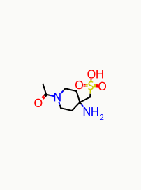 CC(=O)N1CCC(N)(CS(=O)(=O)O)CC1